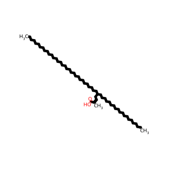 CCCCCCCCCCCCCCCCCCCCCCCCCCCCCCCCC(CC=C(C)C(=O)O)CCCCCCCCCCCCCCCCCCCC